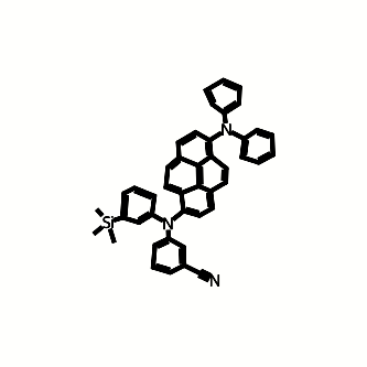 C[Si](C)(C)c1cccc(N(c2cccc(C#N)c2)c2ccc3ccc4c(N(c5ccccc5)c5ccccc5)ccc5ccc2c3c54)c1